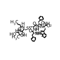 CCCC(=O)N[C@@H](CSSC[C@H](NC(=O)[C@H](N)Cc1ccccc1)C(=O)N[C@@H](Cc1ccccc1)C(=O)N[C@H](Cc1c[nH]c2ccccc12)C(N)=O)C(=O)NC(CO)C(C)O